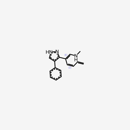 C=C/C=C\C(=C/NC)c1n[nH]cc1-c1ccccc1